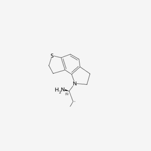 C[CH][C@@H](N)N1CCc2ccc3c(c21)CCS3